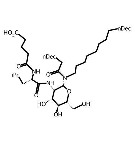 CCCCCCCCCCCCCCCCCCN(C(=O)CCCCCCCCCCC)[C@@H]1O[C@H](CO)[C@@H](O)[C@H](O)[C@@H]1NC(=O)[C@H](CC(C)C)NC(=O)CCCC(=O)O